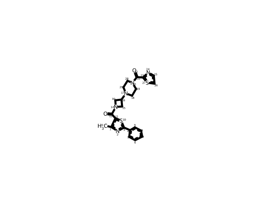 Cc1nc(-c2ccccc2)sc1C(=O)N1CC(N2CCN(C(=O)c3nccs3)CC2)C1